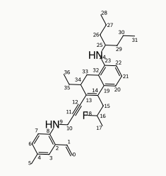 C=Cc1cc(C)ccc1NCC#CC1=C(CC(C)F)c2cccc(NC(CCC)CCC)c2CC1CC